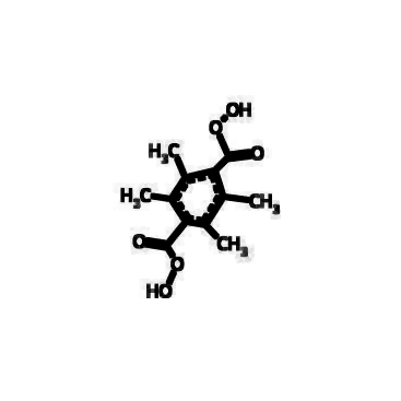 Cc1c(C)c(C(=O)OO)c(C)c(C)c1C(=O)OO